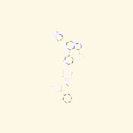 CN1C[C@H](C(=O)N2CCN(c3ccc(-c4nc(-c5cnn(C)c5)cn5ncc(C#N)c45)cn3)CC2)[C@@H](c2ccccc2)C1